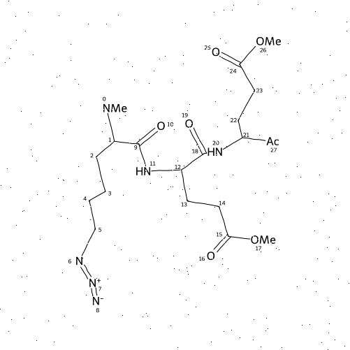 CNC(CCCCN=[N+]=[N-])C(=O)NC(CCC(=O)OC)C(=O)NC(CCC(=O)OC)C(C)=O